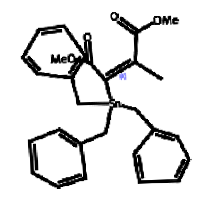 COC(=O)/C(C)=[C](\C(=O)OC)[Sn]([CH2]c1ccccc1)([CH2]c1ccccc1)[CH2]c1ccccc1